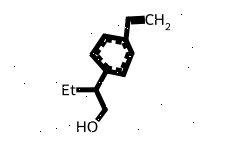 C=Cc1ccc(C(CC)CO)cc1